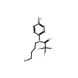 O=C(N(CCCCBr)c1ccc(O)cc1)C(F)(F)F